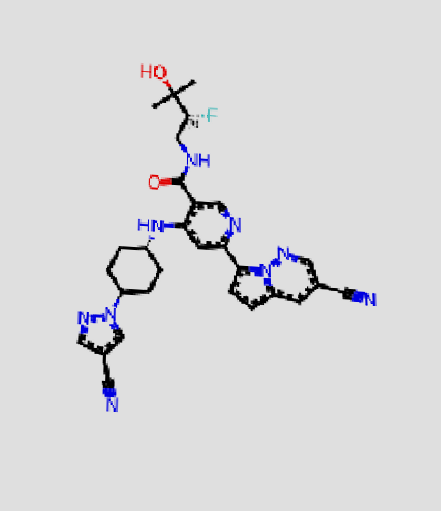 CC(C)(O)[C@H](F)CNC(=O)c1cnc(-c2ccc3cc(C#N)cnn23)cc1N[C@H]1CC[C@H](n2cc(C#N)cn2)CC1